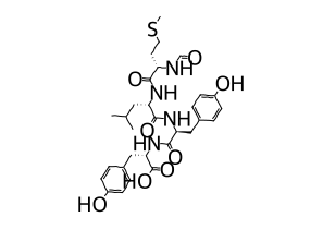 CSCC[C@H](NC=O)C(=O)N[C@@H](CC(C)C)C(=O)N[C@@H](Cc1ccc(O)cc1)C(=O)N[C@@H](Cc1ccc(O)cc1)C(=O)O